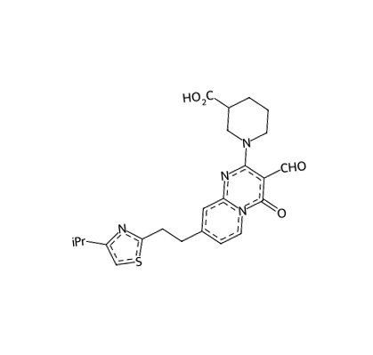 CC(C)c1csc(CCc2ccn3c(=O)c(C=O)c(N4CCCC(C(=O)O)C4)nc3c2)n1